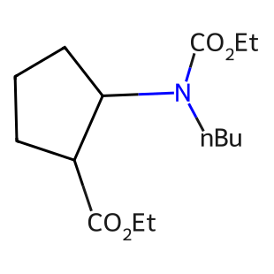 CCCCN(C(=O)OCC)C1CCCC1C(=O)OCC